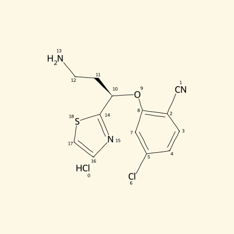 Cl.N#Cc1ccc(Cl)cc1O[C@H](CCN)c1nccs1